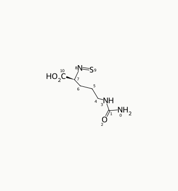 NC(=O)NCCC[C@H](N=S)C(=O)O